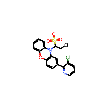 CCC(N1c2ccccc2Oc2ccc(-c3ncccc3Cl)cc21)S(=O)(=O)O